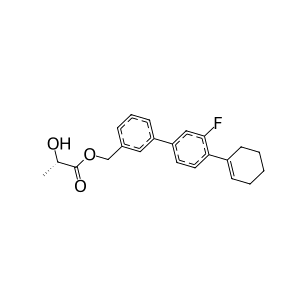 C[C@H](O)C(=O)OCc1cccc(-c2ccc(C3=CCCCC3)c(F)c2)c1